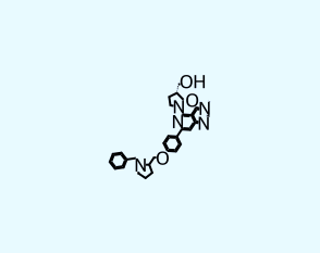 Cn1cnc2cc(-c3ccc(OCC4CCCN4Cc4ccccc4)cc3)nc(N3CC[C@H](CO)C3)c2c1=O